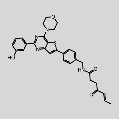 C/C=C/C(=O)CCC(=O)NCc1ccc(-c2cc3nc(-c4cccc(O)c4)nc(N4CCOCC4)c3s2)cc1